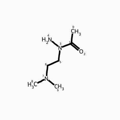 CC(=O)N(N)CCN(C)C